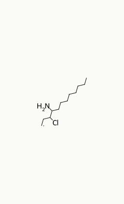 [CH2]CC(Cl)C(N)CCCCCCCC